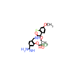 CCO[C@H](C(=O)NCc1ccc(C(=N)N)cc1OCCO)c1ccc(OC)cc1F.Cl